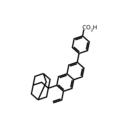 C=Cc1cc2ccc(-c3ccc(C(=O)O)cc3)cc2cc1C12CC3CC(CC(C3)C1)C2